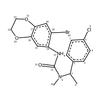 CC(c1ccc(Cl)cc1)N(C)C(=O)Nc1cc2c(cc1Br)OCCO2